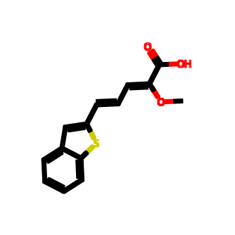 COC(=CC=Cc1cc2ccccc2s1)C(=O)O